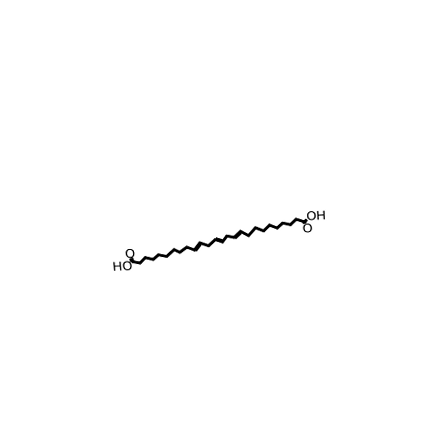 O=C(O)CCCCCCCCC=CCC=CCC=CCCCCCCCCC(=O)O